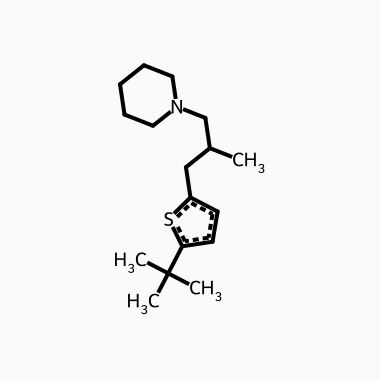 CC(Cc1ccc(C(C)(C)C)s1)CN1CCCCC1